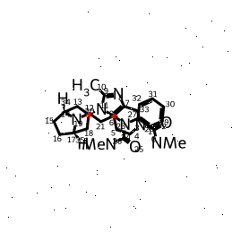 CNC(=O)N1CCc2c(nc(C)n2[C@H]2C[C@H]3CC[C@@H](C2)N3CCCN(C(=O)NC)c2ccccc2)C1